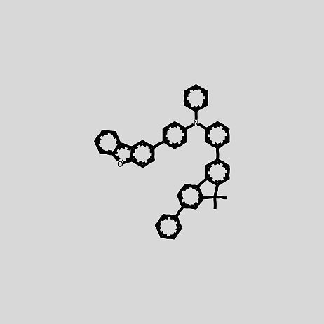 CC1(C)c2ccc(-c3cccc(N(c4ccccc4)c4ccc(-c5ccc6oc7ccccc7c6c5)cc4)c3)cc2-c2ccc(-c3ccccc3)cc21